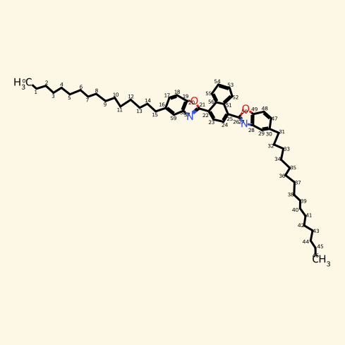 CCCCCCCCCCCCCCCCc1ccc2oc(-c3ccc(-c4nc5cc(CCCCCCCCCCCCCCCC)ccc5o4)c4ccccc34)nc2c1